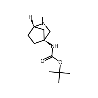 CC(C)(C)OC(=O)N[C@@]12CC[C@@H](C1)NC2